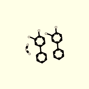 Clc1ccc(-c2ccccc2)cc1Cl.Clc1ccc(-c2ccccc2)cc1Cl.O=S=O